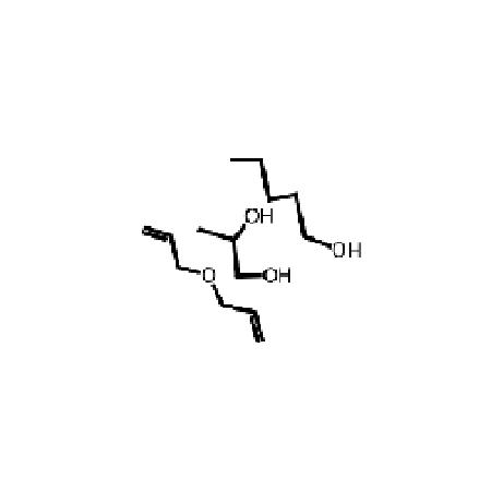 C=CCOCC=C.CC(O)CO.CCCCCO